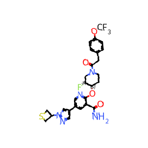 NC(=O)c1cc(-c2cnn(C3CSC3)c2)cnc1O[C@H]1CCN(C(=O)Cc2ccc(OC(F)(F)F)cc2)C[C@H]1F